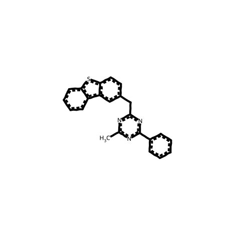 Cc1nc(Cc2ccc3sc4ccccc4c3c2)nc(-c2ccccc2)n1